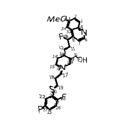 COc1ccc2nccc(C(F)CC[C@@H]3CCN(CCCSc4cc(F)ccc4F)C[C@@H]3CO)c2c1